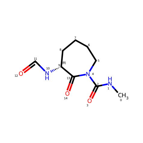 CNC(=O)N1CCCC[C@@H](N[C]=O)C1=O